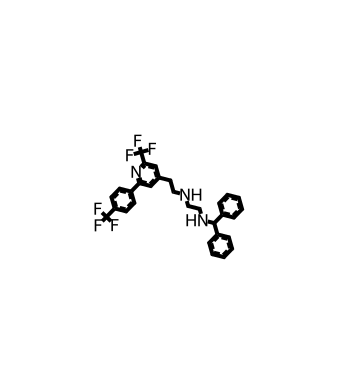 FC(F)(F)c1ccc(-c2cc(CCNCCNC(c3ccccc3)c3ccccc3)cc(C(F)(F)F)n2)cc1